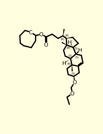 CCOCO[C@H]1CC[C@@]2(C)C(=CC[C@H]3[C@@H]4CC[C@H]([C@H](C)CCC(=O)OC5CCCCCCC5)[C@@]4(C)CC[C@@H]32)C1